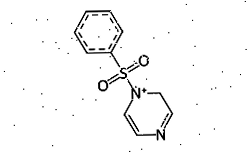 O=S(=O)(c1ccccc1)[N+]1C=CN=CC1